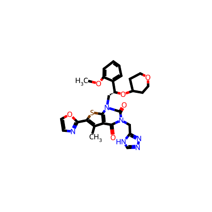 COc1ccccc1[C@@H](Cn1c(=O)n(Cc2nnc[nH]2)c(=O)c2c(C)c(-c3ncco3)sc21)OC1CCOCC1